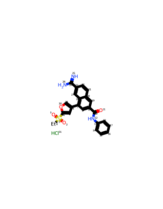 CCS(=O)(=O)c1cc(-c2cc(C(=O)Nc3ccccc3)cc3ccc(C(=N)N)cc23)co1.Cl